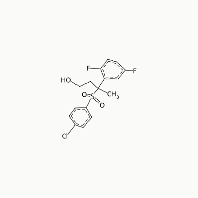 CC(CCO)(c1cc(F)ccc1F)S(=O)(=O)c1ccc(Cl)cc1